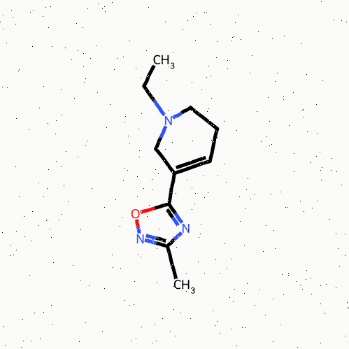 CCN1CCC=C(c2nc(C)no2)C1